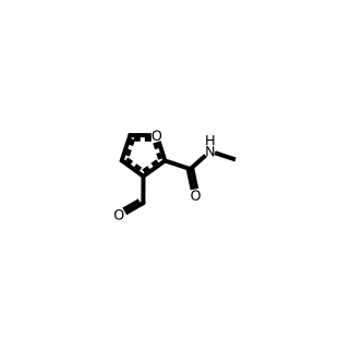 CNC(=O)c1occc1C=O